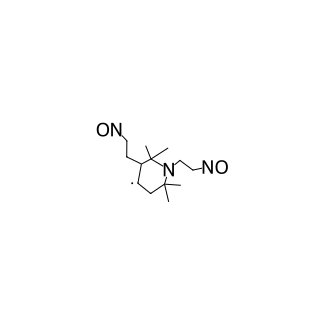 CC1(C)C[CH]C(CCN=O)C(C)(C)N1CCN=O